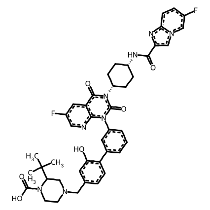 CC(C)(C)C1CN(Cc2ccc(-c3cccc(-n4c(=O)n([C@H]5CC[C@@H](NC(=O)c6cn7cc(F)ccc7n6)CC5)c(=O)c5cc(F)cnc54)c3)c(O)c2)CCN1C(=O)O